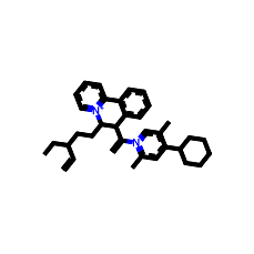 C=CC(CC)CCC1C(C(=C)[n+]2cc(C)c(C3CCCCC3)cc2C)c2ccccc2-c2cccc[n+]21